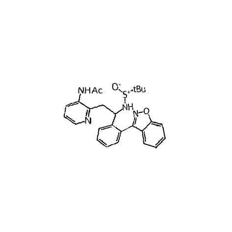 CC(=O)Nc1cccnc1CC(N[S@@+]([O-])C(C)(C)C)c1ccccc1-c1noc2ccccc12